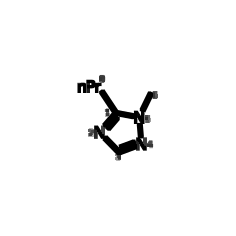 CCCc1ncnn1C